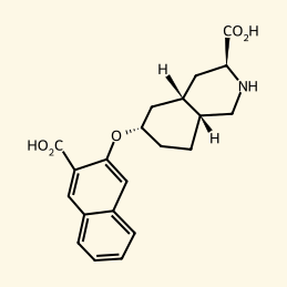 O=C(O)c1cc2ccccc2cc1O[C@H]1CC[C@H]2CN[C@H](C(=O)O)C[C@H]2C1